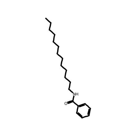 CCCCCCCCCCCCCNC(=O)c1ccccc1